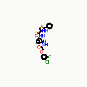 O=C(COc1ccc(Cl)c(F)c1)N[C@@H]1C[C@H](NC(=O)C2CSC(c3ccccc3)N2)C2CC1C2